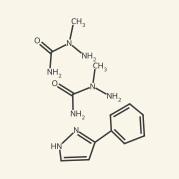 CN(N)C(N)=O.CN(N)C(N)=O.c1ccc(-c2cc[nH]n2)cc1